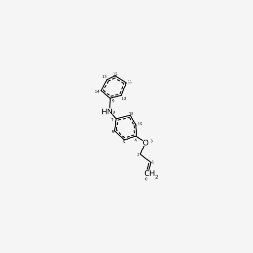 C=CCOc1ccc(Nc2ccccc2)cc1